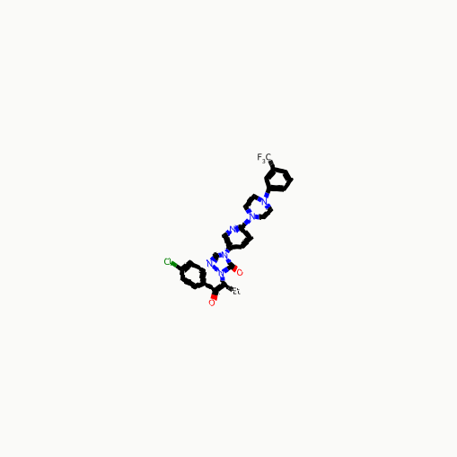 CCC(C(=O)c1ccc(Cl)cc1)n1ncn(-c2ccc(N3CCN(c4cccc(C(F)(F)F)c4)CC3)nc2)c1=O